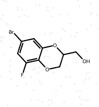 OCC1COc2c(F)cc(Br)cc2O1